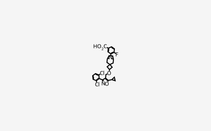 O=C(O)c1ccc(F)c(N2C3CCC2CC2(CC(OCc4c(-c5c(Cl)cccc5Cl)noc4C4CC4)C2)C3)c1